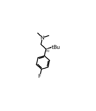 CN(C)C[C@H](c1ccc(F)cc1)C(C)(C)C